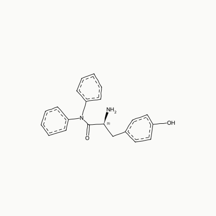 N[C@@H](Cc1ccc(O)cc1)C(=O)N(c1ccccc1)c1ccccc1